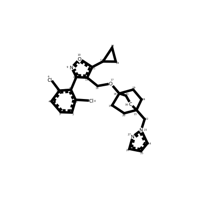 Clc1cccc(Cl)c1-c1noc(C2CC2)c1COC12CCC(Cn3cccn3)(CC1)CC2